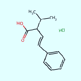 CC(C)C(C=Cc1ccccc1)C(=O)O.Cl